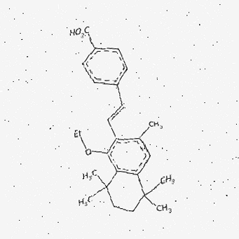 CCOc1c(C=Cc2ccc(C(=O)O)cc2)c(C)cc2c1C(C)(C)CCC2(C)C